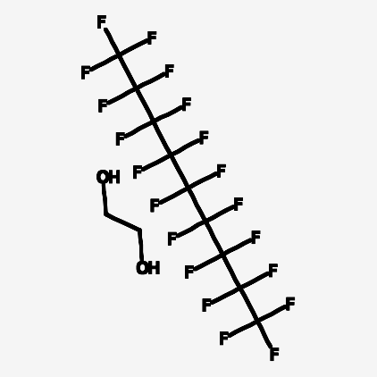 FC(F)(F)C(F)(F)C(F)(F)C(F)(F)C(F)(F)C(F)(F)C(F)(F)C(F)(F)C(F)(F)F.OCCO